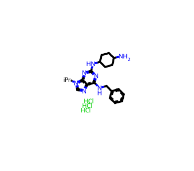 CC(C)n1cnc2c(NCc3ccccc3)nc(NC3CCC(N)CC3)nc21.Cl.Cl.Cl